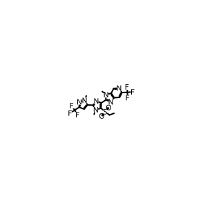 CCS(=O)(=O)c1c(-c2nc3cc(C(F)(F)F)ncc3n2C)nc(-c2cc(C(F)(F)F)nn2C)n1C